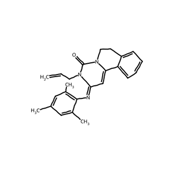 C=CCn1c(=O)n2c(c/c1=N/c1c(C)cc(C)cc1C)-c1ccccc1CC2